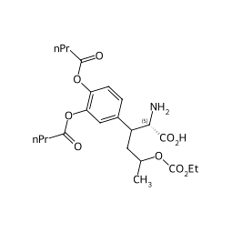 CCCC(=O)Oc1ccc(C(CC(C)OC(=O)OCC)[C@H](N)C(=O)O)cc1OC(=O)CCC